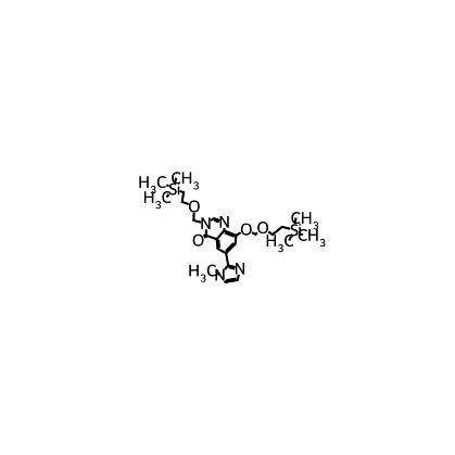 Cn1ccnc1-c1cc(OCOCC[Si](C)(C)C)c2ncn(COCC[Si](C)(C)C)c(=O)c2c1